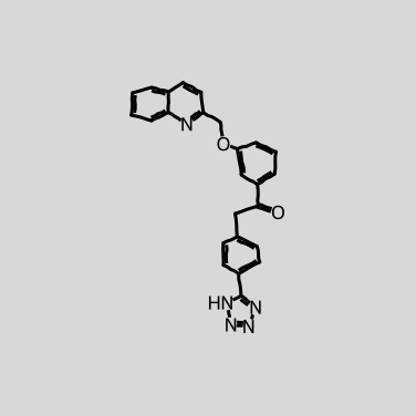 O=C(Cc1ccc(-c2nnn[nH]2)cc1)c1cccc(OCc2ccc3ccccc3n2)c1